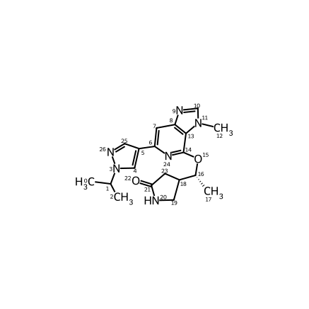 CC(C)n1cc(-c2cc3ncn(C)c3c(O[C@H](C)C3CNC(=O)C3)n2)cn1